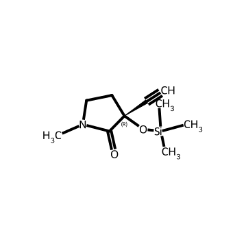 C#C[C@]1(O[Si](C)(C)C)CCN(C)C1=O